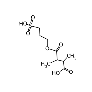 CC(C(=O)O)C(C)C(=O)OCCCS(=O)(=O)O